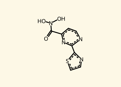 O=C(c1ccnc(-c2nccs2)n1)N(O)O